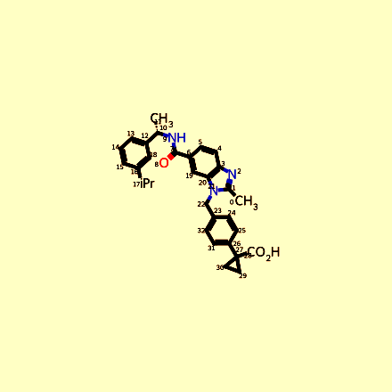 Cc1nc2ccc(C(=O)N[C@@H](C)c3cccc(C(C)C)c3)cc2n1Cc1ccc(C2(C(=O)O)CC2)cc1